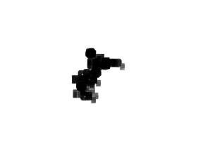 CCC(C)(C)c1ccc(OC(C)CC(=O)Nc2cccc(C(=O)C(OC)(Oc3ccc([N+](=O)[O-])cc3)C(=O)Nc3ccccc3)c2)c(C(C)(C)CC)c1